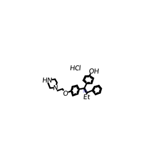 CC/C(=C(/c1ccc(O)cc1)c1ccc(OCCN2CCNCC2)cc1)c1ccccc1.Cl